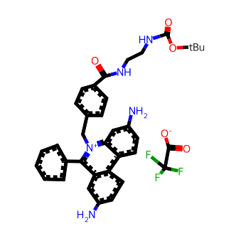 CC(C)(C)OC(=O)NCCNC(=O)c1ccc(C[n+]2c(-c3ccccc3)c3cc(N)ccc3c3ccc(N)cc32)cc1.O=C([O-])C(F)(F)F